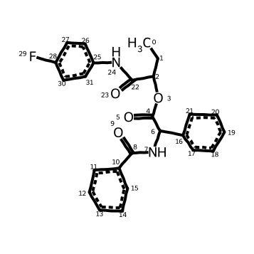 CCC(OC(=O)C(NC(=O)c1ccccc1)c1ccccc1)C(=O)Nc1ccc(F)cc1